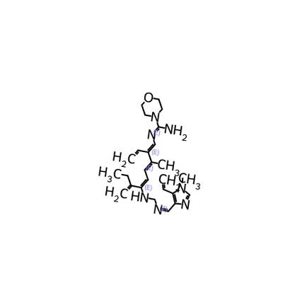 C=CC(=C\N=C(/N)N1CCOCC1)/C(C)=C/C=C(/NC/N=C\c1ncn(C)c1C=C)C(=C)CC